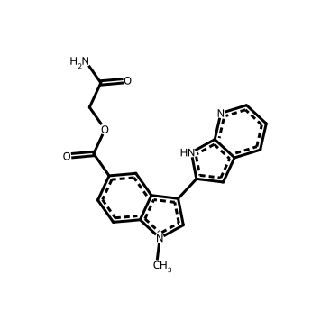 Cn1cc(-c2cc3cccnc3[nH]2)c2cc(C(=O)OCC(N)=O)ccc21